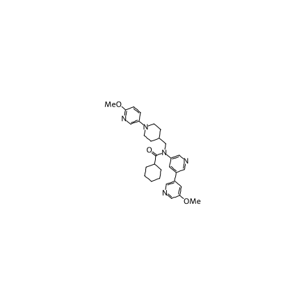 COc1cncc(-c2cncc(N(CC3CCN(c4ccc(OC)nc4)CC3)C(=O)C3CCCCC3)c2)c1